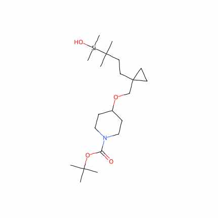 CC(C)(C)OC(=O)N1CCC(OCC2(CCC(C)(C)[Si](C)(C)O)CC2)CC1